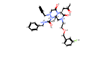 C#CCN1CC(=O)N2[C@@H](CC(C)=O)C(=O)N(CCOCc3cccc(F)c3)C[C@@H]2N1C(=O)NCc1ccccc1